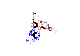 CC[C@H]1O[C@@H](n2cnc3c(N)ncnc32)[C@@H](OCCOC)C1OC